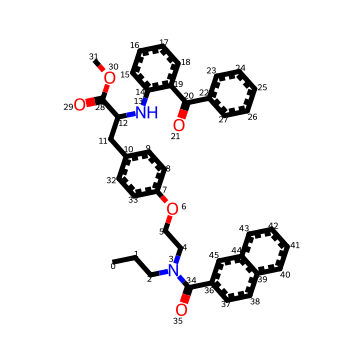 CCCN(CCOc1ccc(CC(Nc2ccccc2C(=O)c2ccccc2)C(=O)OC)cc1)C(=O)c1ccc2ccccc2c1